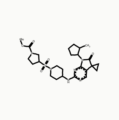 CC1CCCC1N1C(=O)C2(CC2)c2cnc(NC3CCN(S(=O)(=O)C4CCN(C(=O)OC(C)(C)C)C4)CC3)nc21